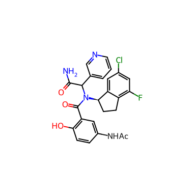 CC(=O)Nc1ccc(O)c(C(=O)N(C(C(N)=O)c2cccnc2)[C@@H]2CCc3c(F)cc(Cl)cc32)c1